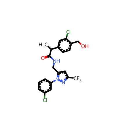 CC(C(=O)NCc1cc(C(F)(F)F)nn1-c1cccc(Cl)c1)c1ccc(CO)c(Cl)c1